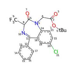 CC(C)(C)OC(=O)CN1C(=O)C(C(F)(F)F)N=C(c2ccccc2)c2cc(Cl)ccc21